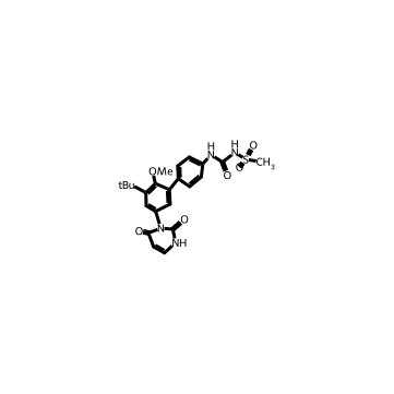 COc1c(-c2ccc(NC(=O)NS(C)(=O)=O)cc2)cc(-n2c(=O)cc[nH]c2=O)cc1C(C)(C)C